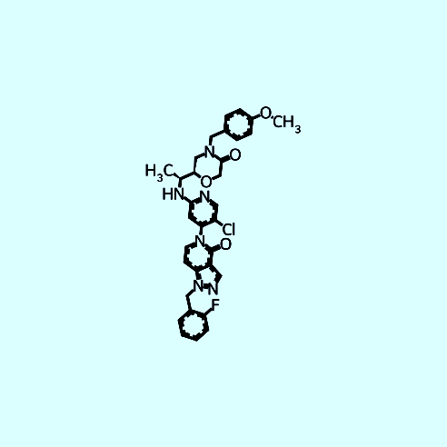 COc1ccc(CN2C[C@H]([C@H](C)Nc3cc(-n4ccc5c(cnn5Cc5ccccc5F)c4=O)c(Cl)cn3)OCC2=O)cc1